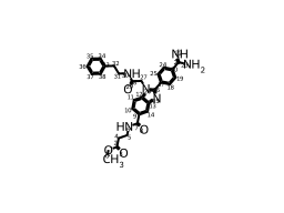 COC(=O)CCNC(=O)c1ccc2c(c1)nc(-c1ccc(C(=N)N)cc1)n2CC(=O)NCCc1ccccc1